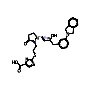 O=C(O)c1csc(SCCN2C(=O)CC[C@@H]2/C=C/[C@@H](O)Cc2cccc(N3Cc4ccccc4C3)c2)n1